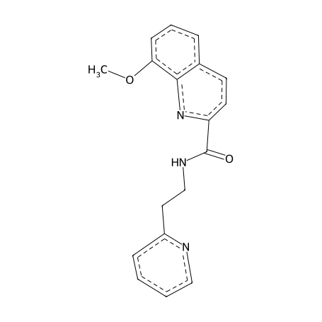 COc1cccc2ccc(C(=O)NCCc3ccccn3)nc12